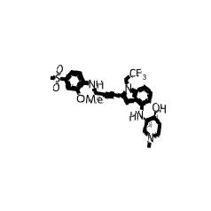 COc1cc(S(C)(=O)=O)ccc1NCC#Cc1cc2c(N[C@H]3CN(C)CC[C@@H]3O)cccc2n1CC(F)(F)F